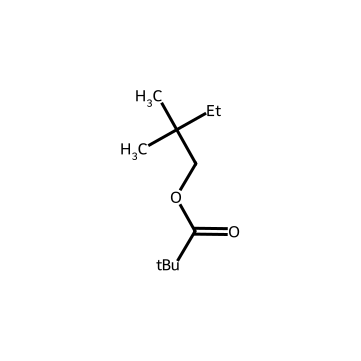 CCC(C)(C)COC(=O)C(C)(C)C